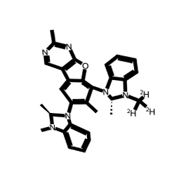 [2H]C([2H])([2H])N1c2ccccc2N(c2c(C)c(N3c4ccccc4N(C)[C@H]3C)cc3c2oc2nc(C)ncc23)[C@H]1C